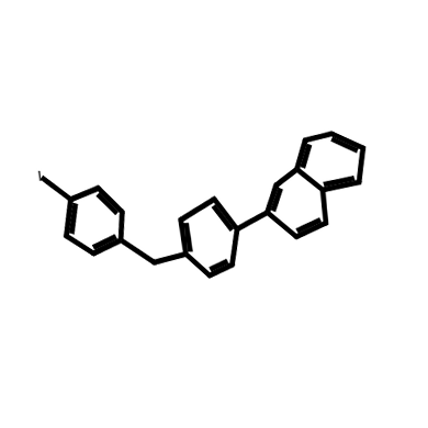 Ic1ccc(Cc2ccc(-c3ccc4ccccc4c3)cc2)cc1